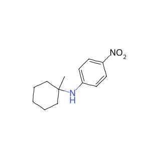 CC1(Nc2ccc([N+](=O)[O-])cc2)CCCCC1